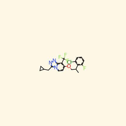 CC(COc1ccn2c(CC3CC3)nnc2c1C(F)(F)F)c1c(F)cccc1Cl